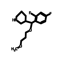 COCCCOC(c1ccc(F)cc1F)C1CCCNC1